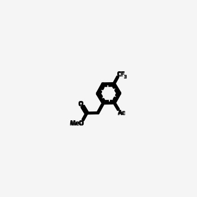 COC(=O)Cc1ccc(C(F)(F)F)cc1C(C)=O